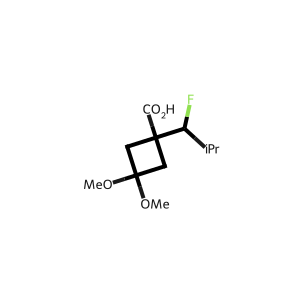 COC1(OC)CC(C(=O)O)(C(F)C(C)C)C1